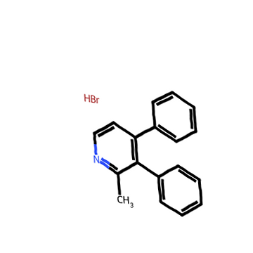 Br.Cc1nccc(-c2ccccc2)c1-c1ccccc1